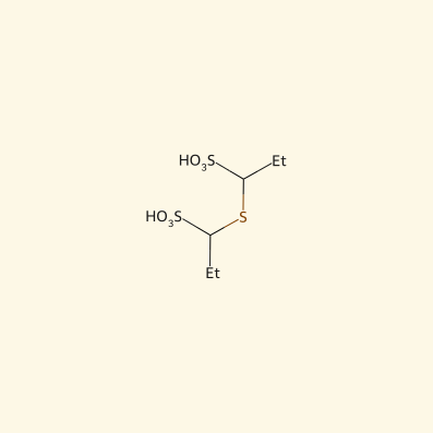 CCC(SC(CC)S(=O)(=O)O)S(=O)(=O)O